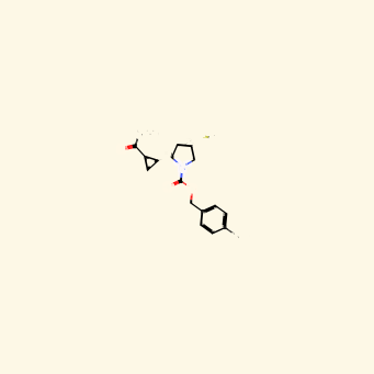 CNC(=O)C1CC1[C@@H]1C[C@H](SC(C)=O)CN1C(=O)OCc1ccc([N+](=O)[O-])cc1